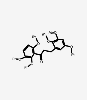 COc1cc(OC(C)C)cc(CCC(=O)c2c(OC(C)C)ccc(OC(C)C)c2OC(C)C)c1OC(C)C